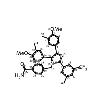 COc1ccc(-c2nc(-c3cc(C)cc(C(F)(F)F)c3)n(Cc3ccc(C(N)=O)cc3)c2-c2ccc(OC)c(C)c2)cc1C